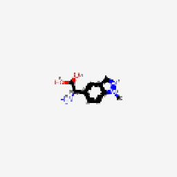 Cn1ncc2cc([C@@H](N)C(=O)O)ccc21